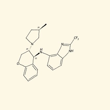 C[C@@H]1CCN([C@H]2COc3ccccc3[C@@H]2Nc2cccc3[nH]c(C(F)(F)F)nc23)C1